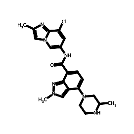 Cc1cn2cc(NC(=O)c3ccc(N4CCNC(C)C4)c4cn(C)nc34)cc(Cl)c2n1